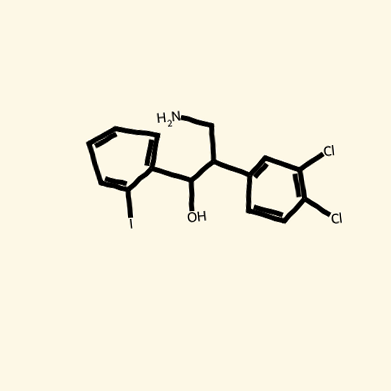 NCC(c1ccc(Cl)c(Cl)c1)C(O)c1ccccc1I